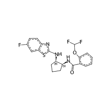 O=C(N[C@H]1CCC[C@H]1Nc1nc2ccc(F)cc2s1)c1ccccc1OC(F)F